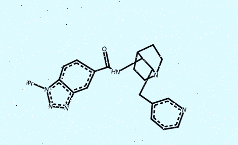 CC(C)n1nnc2cc(C(=O)NC3C4CCN(CC4)C3Cc3cccnc3)ccc21